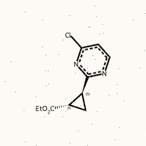 CCOC(=O)[C@H]1C[C@@H]1c1nccc(Cl)n1